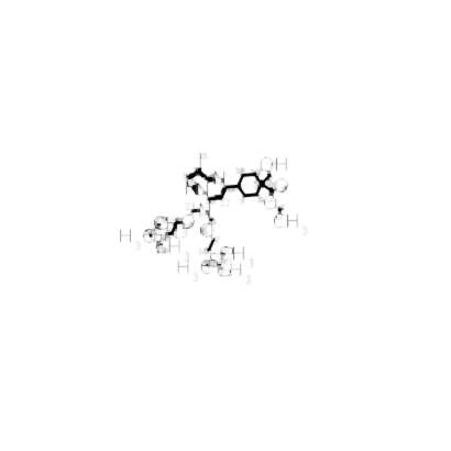 CCOC(=O)C1(CO)CCC(c2cc(N(COCC[Si](C)(C)C)COCC[Si](C)(C)C)n3ncc(I)c3n2)CC1